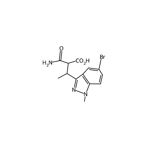 CC(c1nn(C)c2ccc(Br)cc12)C(C(N)=O)C(=O)O